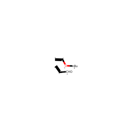 C=CC=O.C=COCCCC